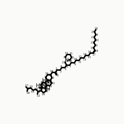 C=C(CCCCC(CCCCCCCCCC/C=C\CCCCCCCC)CN1CCCCC1)CC1CCC2(C)C(=CCC3(N)[C@@H]2CCC2(C)C(C(C)CCCC(C)C)CC[C@H]23)C1